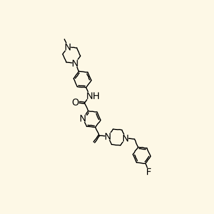 C=C(c1ccc(C(=O)Nc2ccc(N3CCN(C)CC3)cc2)nc1)N1CCN(Cc2ccc(F)cc2)CC1